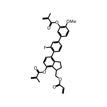 C=CC(=O)OCC1CCc2c(-c3ccc(-c4ccc(OC)c(OC(=O)C(=C)C)c4)cc3F)ccc(OC(=O)C(=C)C)c21